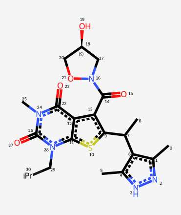 Cc1n[nH]c(C)c1C(C)c1sc2c(c1C(=O)N1C[C@H](O)CO1)c(=O)n(C)c(=O)n2CC(C)C